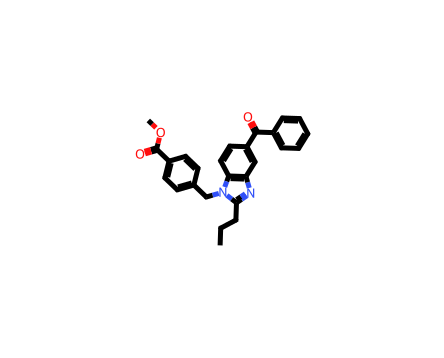 CCCc1nc2cc(C(=O)c3ccccc3)ccc2n1Cc1ccc(C(=O)OC)cc1